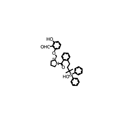 CC(C)(CCc1ccccc1C(=O)N1CCC[C@H]1COc1cccc(O)c1C=O)[Si](O)(c1ccccc1)c1ccccc1